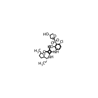 CC[C@@H](Nc1c(Nc2ccc(Cl)c(S(=O)(=O)N3C[C@H](O)CO3)c2O)c(=O)c1=O)C1CC[C@@H](C)O1